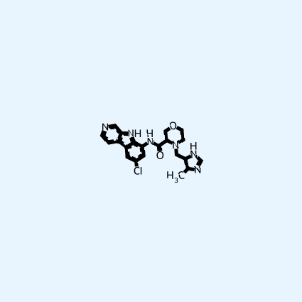 CC1N=CNC1CN1CCOCC1C(=O)Nc1cc(Cl)cc2c1[nH]c1cnccc12